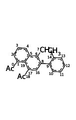 CC(=O)c1cccc2c(C)c(-c3ccccc3C)cc(C(C)=O)c12